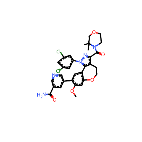 COc1cc2c(cc1-c1cncc(C(N)=O)c1)-c1c(c(C(=O)N3CCOCC3(C)C)nn1-c1cc(Cl)cc(Cl)c1)CCO2